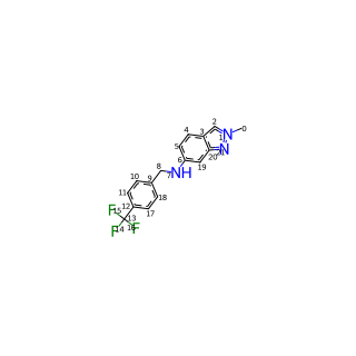 Cn1cc2ccc(NCc3ccc(C(F)(F)F)cc3)cc2n1